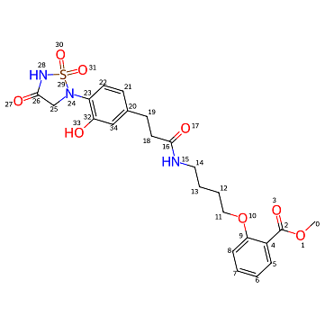 COC(=O)c1ccccc1OCCCCNC(=O)CCc1ccc(N2CC(=O)NS2(=O)=O)c(O)c1